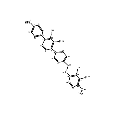 CCCc1ccc(-c2ccc(-c3ccc(COc4ccc(OCC)c(F)c4F)cc3)c(F)c2F)cc1